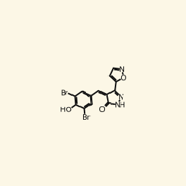 O=C1NN=C(c2ccno2)C1=Cc1cc(Br)c(O)c(Br)c1